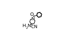 N#CC1(N)CCN(C(=O)c2ccccc2)CC1